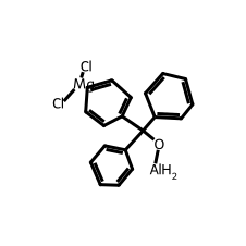 [AlH2][O]C(c1ccccc1)(c1ccccc1)c1ccccc1.[Cl][Mg][Cl]